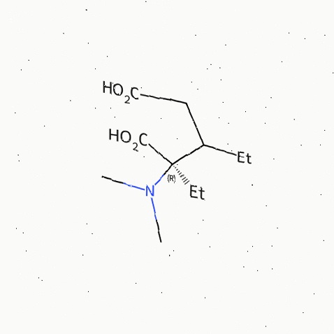 CCC(CC(=O)O)[C@](CC)(C(=O)O)N(C)C